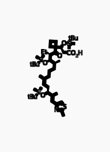 CC[C@H](C(=O)C1([C@H](CC(=O)O)O[Si](C)(C)C(C)(C)C)CCC1)[C@H](O[Si](C)(C)C(C)(C)C)[C@@H](C)CCC/C(C)=C\C[C@H](O[Si](C)(C)C(C)(C)C)/C(C)=C/c1csc(C)n1